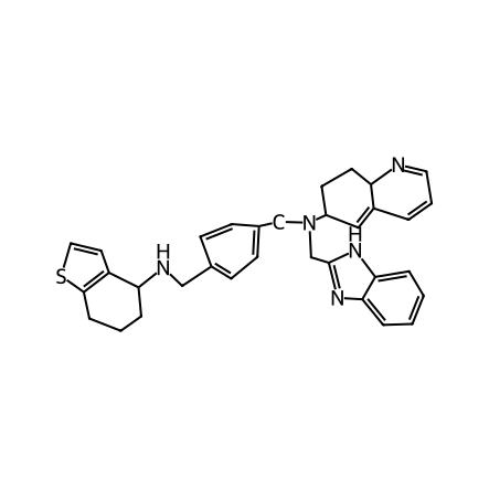 C1=CC2=CC(N(Cc3ccc(CNC4CCCc5sccc54)cc3)Cc3nc4ccccc4[nH]3)CCC2N=C1